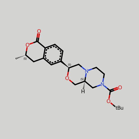 C[C@H]1Cc2cc([C@H]3CN4CCN(C(=O)OC(C)(C)C)C[C@H]4CO3)ccc2C(=O)O1